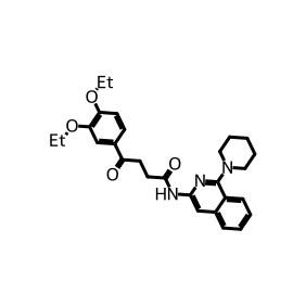 CCOc1ccc(C(=O)CCC(=O)Nc2cc3ccccc3c(N3CCCCC3)n2)cc1OCC